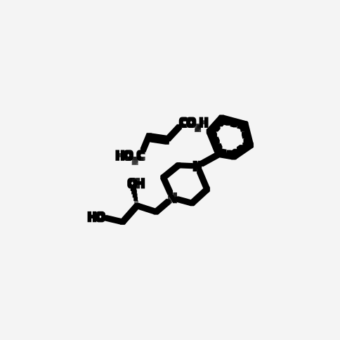 O=C(O)/C=C/C(=O)O.OC[C@H](O)CN1CCN(c2ccccc2)CC1